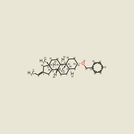 CC=C1C[C@@H]2[C@H]3CC[C@@H]4C[C@@H](OCc5ccccc5)CC[C@@]4(C)[C@@H]3CC[C@@]2(C)C1